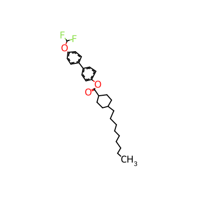 CCCCCCCCCC1CCC(C(=O)Oc2ccc(-c3ccc(OC(F)F)cc3)cc2)CC1